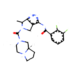 CC1c2[nH]nc(NC(=O)c3cccc(F)c3F)c2CN1C(=O)N1C[C@@H]2CCCN2C[C@@H]1C